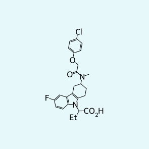 CCC(C(=O)O)n1c2c(c3cc(F)ccc31)CC(N(C)C(=O)COc1ccc(Cl)cc1)CC2